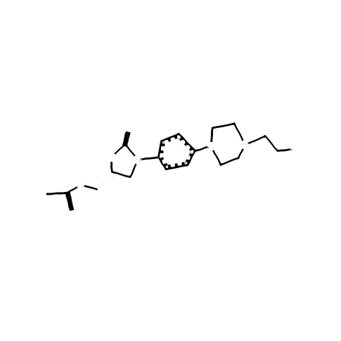 CC(=S)NC[C@H]1CN(c2ccc(N3CCN(CCF)CC3)cc2)C(=O)O1